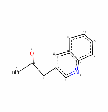 CCCC(=O)Cc1cnc2ccccc2c1